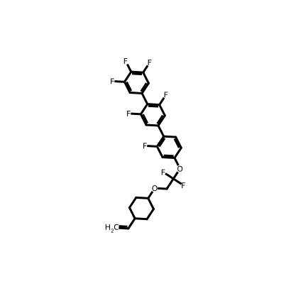 C=CC1CCC(OCC(F)(F)Oc2ccc(-c3cc(F)c(-c4cc(F)c(F)c(F)c4)c(F)c3)c(F)c2)CC1